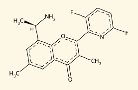 Cc1cc([C@@H](C)N)c2oc(-c3nc(F)ccc3F)c(C)c(=O)c2c1